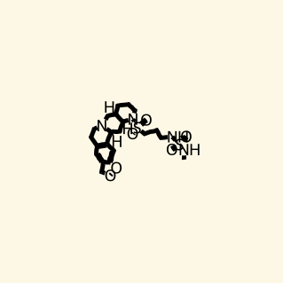 CNS(=O)(=O)NCCCS(=O)(=O)N1CCC[C@H]2CN3CCc4cc5c(cc4[C@@H]3C[C@H]21)OOC5